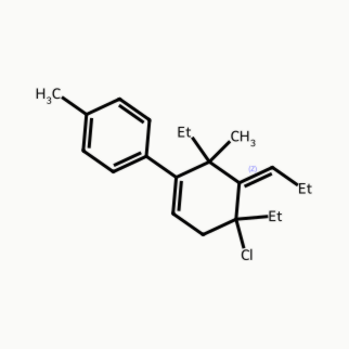 CC/C=C1\C(Cl)(CC)CC=C(c2ccc(C)cc2)C1(C)CC